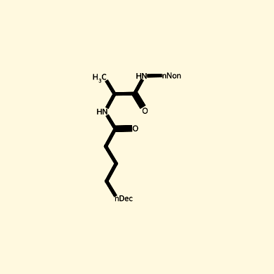 CCCCCCCCCCCCCC(=O)NC(C)C(=O)NCCCCCCCCC